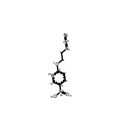 [N-]=[N+]=NCCOc1ccc([N+](=O)[O-])cn1